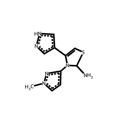 Cn1ccc(N2C(c3cn[nH]c3)=CSC2N)n1